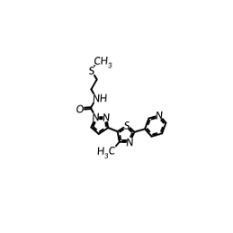 CSCCNC(=O)n1ccc(-c2sc(-c3cccnc3)nc2C)n1